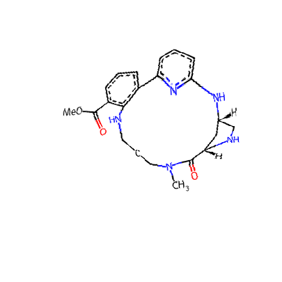 COC(=O)c1cccc2c1NCCCN(C)C(=O)[C@@H]1C[C@@H](CN1)Nc1cccc-2n1